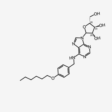 CCCCCCOc1ccc(CNc2ncnc3c2ncn3C2O[C@H](CO)[C@@H](O)[C@H]2O)cc1